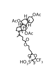 CC(=O)OC1CC[C@@]2(C)[C@@H](C1)CC(OC(C)=O)[C@@H]1[C@@H]2CC(OC(C)=O)[C@]2(C)[C@@H]([C@H](C)CCC(=O)OCCCC(=O)OC(C(F)(F)F)C(F)(F)S(=O)(=O)O)CC[C@@H]12